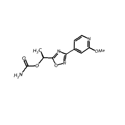 COc1cc(-c2noc(C(C)OC(N)=O)n2)ccn1